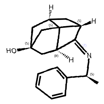 C[C@H](/N=C1\[C@@H]2C[C@@H]3C[C@H]1C[C@@](O)(C3)C2)c1ccccc1